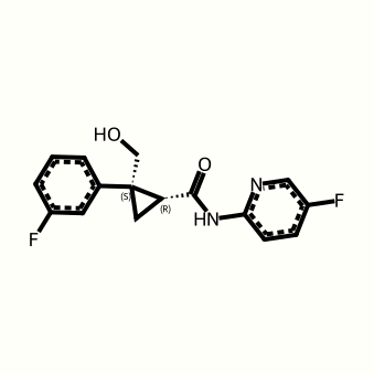 O=C(Nc1ccc(F)cn1)[C@@H]1C[C@@]1(CO)c1cccc(F)c1